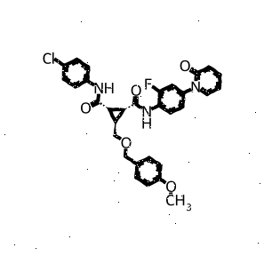 COc1ccc(COC[C@@H]2[C@@H](C(=O)Nc3ccc(-n4ccccc4=O)cc3F)[C@H]2C(=O)Nc2ccc(Cl)cc2)cc1